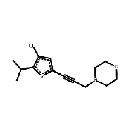 CC(C)c1sc(C#CCN2CCOCC2)cc1Cl